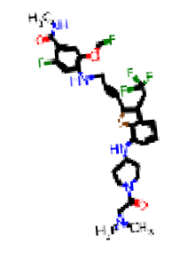 CNC(=O)c1cc(OCF)c(NCC#Cc2sc3c(NC4CCN(C(=O)CN(C)C)CC4)cccc3c2CC(F)(F)F)cc1F